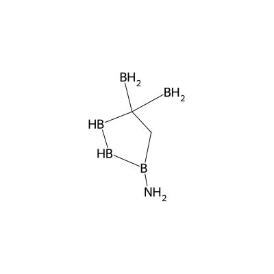 BC1(B)BBB(N)C1